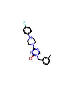 Cc1cccc(Cn2cnc(N3CCN(c4ccc(F)cc4)CC3)nc2=O)c1